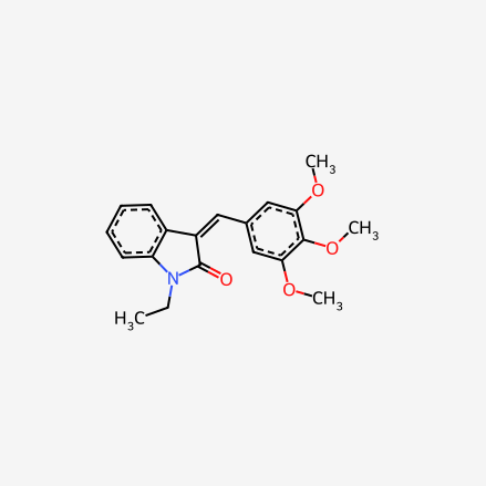 CCN1C(=O)/C(=C\c2cc(OC)c(OC)c(OC)c2)c2ccccc21